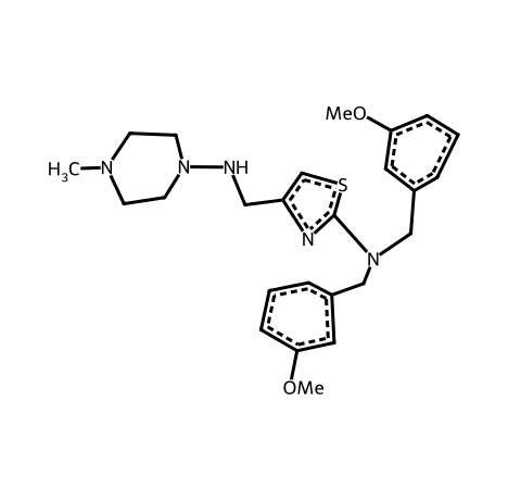 COc1cccc(CN(Cc2cccc(OC)c2)c2nc(CNN3CCN(C)CC3)cs2)c1